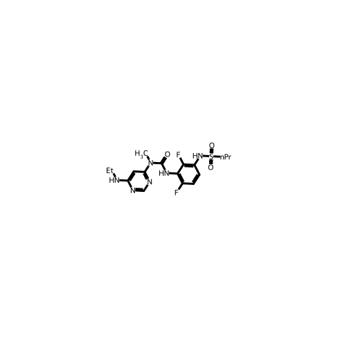 CCCS(=O)(=O)Nc1ccc(F)c(NC(=O)N(C)c2cc(NCC)ncn2)c1F